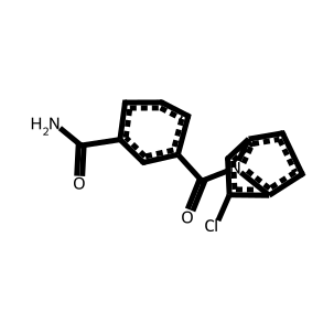 NC(=O)c1cccc(C(=O)n2c3ccc2c(Cl)c3)c1